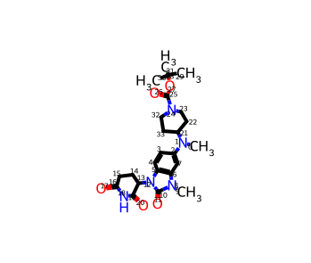 CN(c1ccc2c(c1)n(C)c(=O)n2C1CCC(=O)NC1=O)C1CCN(C(=O)OC(C)(C)C)CC1